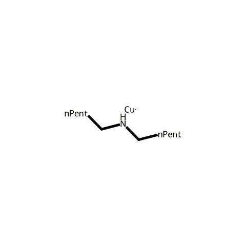 CCCCCCNCCCCCC.[Cu]